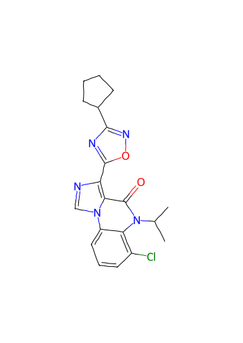 CC(C)n1c(=O)c2c(-c3nc(C4CCCC4)no3)ncn2c2cccc(Cl)c21